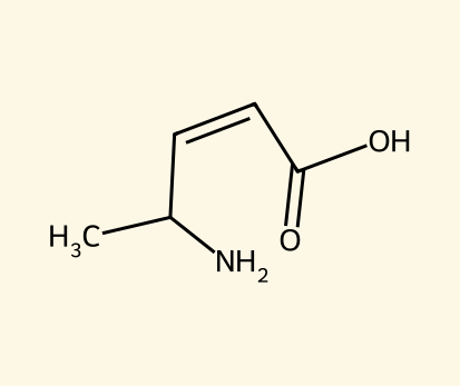 CC(N)/C=C\C(=O)O